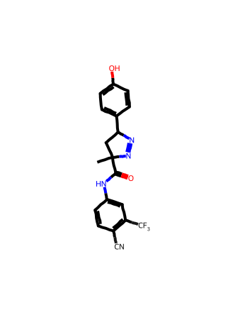 CC1(C(=O)Nc2ccc(C#N)c(C(F)(F)F)c2)CC(c2ccc(O)cc2)N=N1